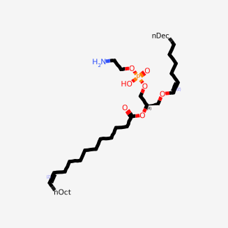 CCCCCCCC/C=C\CCCCCCCCCC(=O)O[C@H](CO/C=C\CCCCCCCCCCCCCC)COP(=O)(O)OCCN